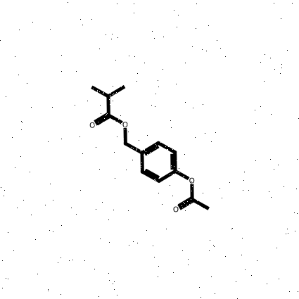 CC(=O)Oc1ccc(COC(=O)C(C)C)cc1